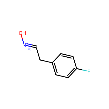 O/N=C/Cc1ccc(F)cc1